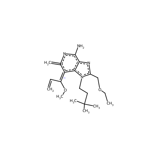 C=C/C(OC)=c1\c(=C)nc(N)c2nc(COCC)n(CCC(C)(C)C)c12